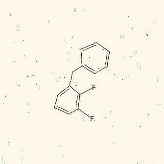 Fc1[c]ccc(Cc2ccccc2)c1F